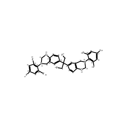 FCC(CF)(c1ccc2c(c1)CN(c1c(F)cc(F)cc1F)CO2)c1ccc2c(c1)CN(c1c(F)cc(F)cc1F)CO2